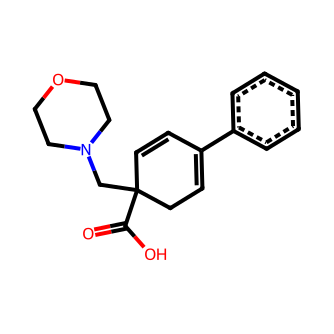 O=C(O)C1(CN2CCOCC2)C=CC(c2ccccc2)=CC1